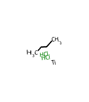 CCCC.Cl.Cl.[Ti]